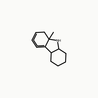 CC12CC=C=C=C1C1CCCCC1N2